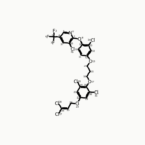 FC(F)(F)c1cnc(Oc2ccc(OCCCOc3c(Cl)cc(OCC=C(Cl)Cl)cc3Cl)cc2Cl)c(Cl)c1